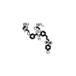 CC(C)(C)c1csc(COc2cccc(C(=O)Nc3cc(CCCS(=O)(=O)c4ccc(Cl)cc4)ccc3OCC(N)=O)c2)n1